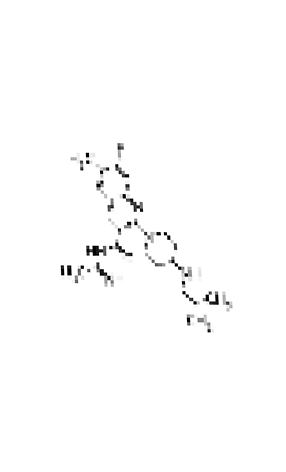 CC(=N)NC(=O)c1cc2cc(C)c(F)cc2nc1N1CCC(NCC(C)C)CC1